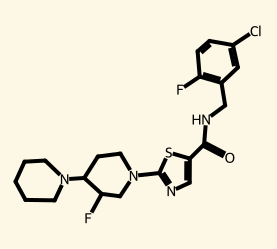 O=C(NCc1cc(Cl)ccc1F)c1cnc(N2CCC(N3CCCCC3)C(F)C2)s1